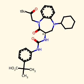 CC(C)(C)C(=O)CN1C(=O)[C@H](NC(=O)Nc2cccc(C(C)(C)C(=O)O)c2)CN(C2CCCCC2)c2ccccc21